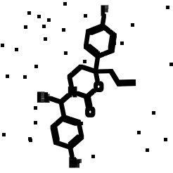 C=CCC1(c2ccc(F)cc2)CCN(C(CC)c2ccc(Br)cc2)C(=O)O1